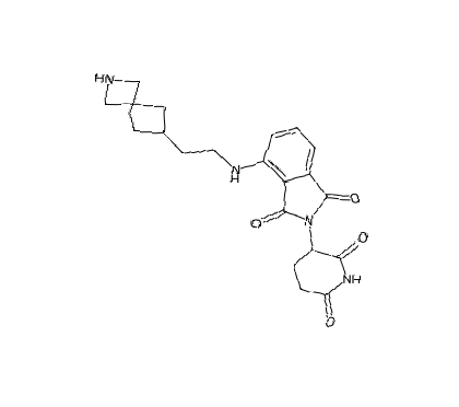 O=C1CCC(N2C(=O)c3cccc(NCCC4CC5(CNC5)C4)c3C2=O)C(=O)N1